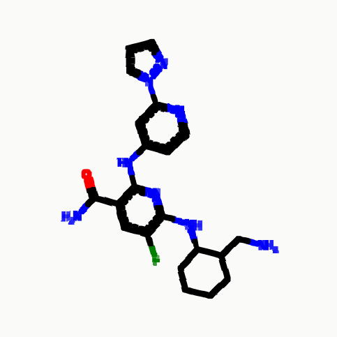 NCC1CCCC[C@H]1Nc1nc(Nc2ccnc(-n3cccn3)c2)c(C(N)=O)cc1F